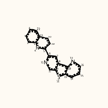 c1ccc2nc(-c3cc4c(cn3)sc3cccnc34)ccc2c1